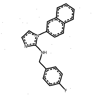 Fc1ccc(CNc2nccn2-c2ccc3ccccc3c2)cc1